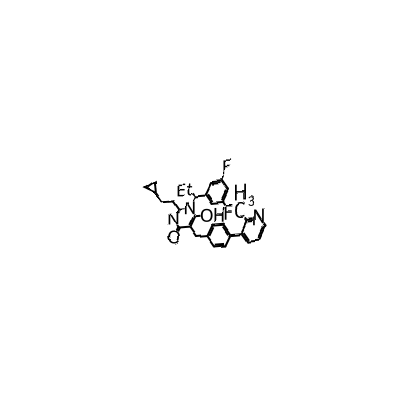 CC[C@@H](c1cc(F)cc(F)c1)n1c(CCC2CC2)nc(=O)c(Cc2ccc(-c3cccnc3C)cc2)c1O